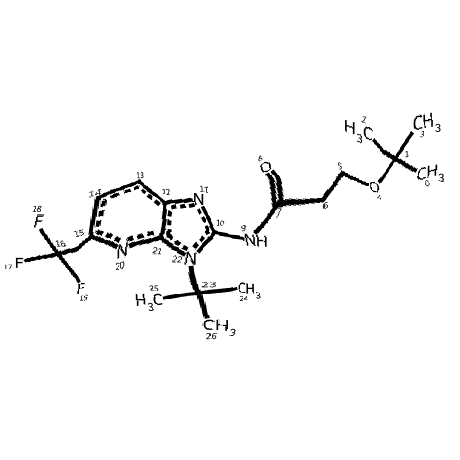 CC(C)(C)OCCC(=O)Nc1nc2ccc(C(F)(F)F)nc2n1C(C)(C)C